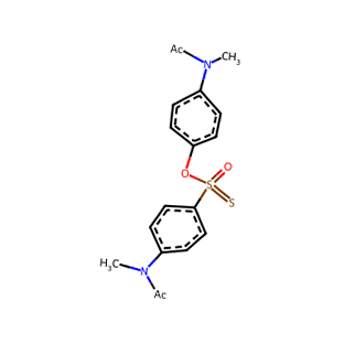 CC(=O)N(C)c1ccc(OS(=O)(=S)c2ccc(N(C)C(C)=O)cc2)cc1